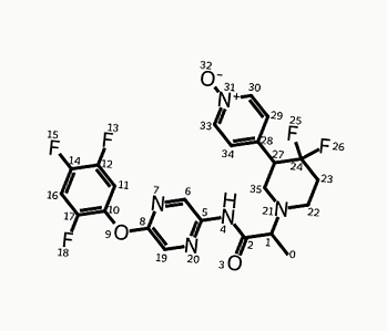 CC(C(=O)Nc1cnc(Oc2cc(F)c(F)cc2F)cn1)N1CCC(F)(F)C(c2cc[n+]([O-])cc2)C1